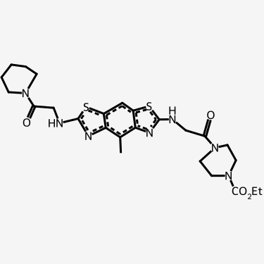 CCOC(=O)N1CCN(C(=O)CNc2nc3c(C)c4nc(NCC(=O)N5CCCCC5)sc4cc3s2)CC1